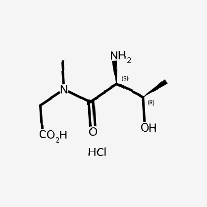 C[C@@H](O)[C@H](N)C(=O)N(C)CC(=O)O.Cl